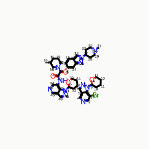 Brc1cncc2cnn(C3CCCCO3)c12.C[C@H]1CC[C@H](c2ccc3nn(C4CCN(C)CC4)cc3c2)N(C(=O)C(=O)Nc2cncc3cnn(C4CCCCO4)c23)C1